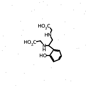 O=C(O)CNCC(NCC(=O)O)c1ccccc1O